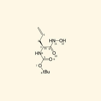 C=CC[C@H](NC(=O)OC(C)(C)C)C(=O)NO